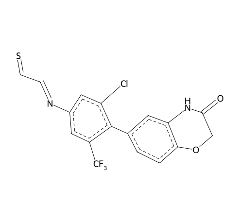 O=C1COc2ccc(-c3c(Cl)cc(N=CC=S)cc3C(F)(F)F)cc2N1